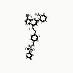 Bc1cnn2c(NCc3ccc(CNS(=O)(=O)c4cccs4)cc3)cc(-c3ccccc3O)nc12